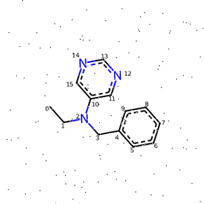 CCN(Cc1ccccc1)c1cncnc1